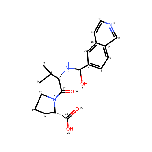 CC(C)[C@H](NC(O)c1ccc2cnccc2c1)C(=O)N1CCC[C@H]1C(=O)O